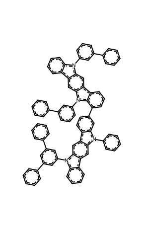 c1ccc(-c2cccc(-n3c4ccccc4c4cc5c(cc43)c3cccc(-c4ccc6c7cc8c(cc7n(-c7ccccc7)c6c4)c4ccccc4n8-c4cc(-c6ccccc6)cc(-c6ccccc6)c4)c3n5-c3cccc(-c4ccccc4)c3)c2)cc1